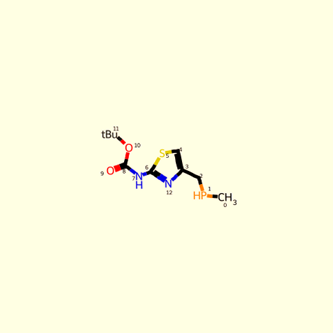 CPCc1csc(NC(=O)OC(C)(C)C)n1